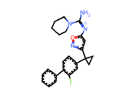 N/C(=N/c1cc(C2(c3ccc(-c4ccccc4)c(F)c3)CC2)no1)N1CCCCC1